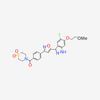 COCCOc1cc2[nH]nc(-c3cc(-c4ccc(C(=O)N5CCS(=O)(=O)CC5)cc4)no3)c2cc1F